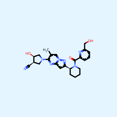 Cc1cn2nc([C@@H]3CCCCN3C(=O)c3cccc(CO)n3)cc2nc1N1C[C@@H](C#N)[C@@H](O)C1